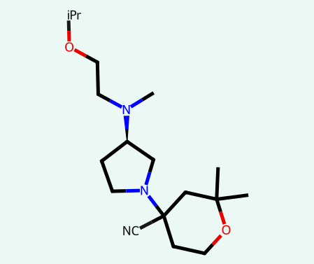 CC(C)OCCN(C)[C@@H]1CCN(C2(C#N)CCOC(C)(C)C2)C1